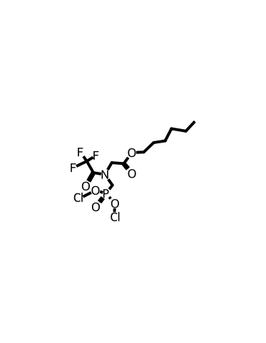 CCCCCCOC(=O)CN(CP(=O)(OCl)OCl)C(=O)C(F)(F)F